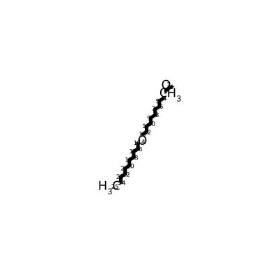 C1CO1.CCCCCCCCCCCOCCCCCCCCCCC